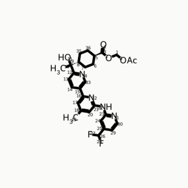 CC(=O)OCOC(=O)[C@H]1CC[C@H](C(C)(O)c2ccc(-c3cc(C)cc(Nc4cc(C(F)F)ccn4)n3)cn2)CC1